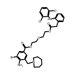 Nc1c(Br)cc(C(=O)OCCOCCOC(=O)Cc2ccccc2Nc2c(Cl)cccc2Cl)cc1CN1CCCCCC1